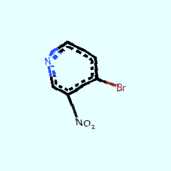 O=[N+]([O-])c1cnccc1Br